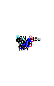 Cc1ccc(F)c(C#N)c1-c1c(F)cc2c3c(c(=O)n(-c4c(C)ccnc4C(C)C)c2c1F)N(C)C(=O)[C@H]1CN(C(=O)OC(C)(C)C)[C@H](C)CN31